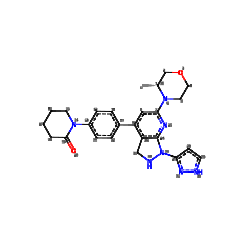 C[C@@H]1COCCN1c1cc(-c2ccc(N3CCCCC3=O)cc2)c2c(n1)N(c1cc[nH]n1)NC2